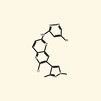 Cc1nn(C)cc1-c1cc2nc(Nc3cc(C(C)C)cnn3)ccc2nc1Cl